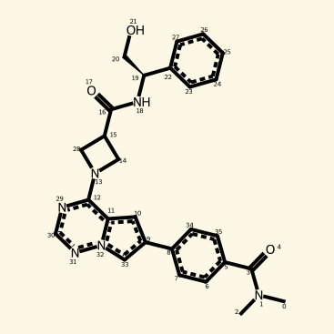 CN(C)C(=O)c1ccc(-c2cc3c(N4CC(C(=O)N[C@@H](CO)c5ccccc5)C4)ncnn3c2)cc1